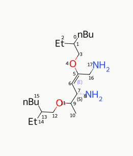 CCCCC(CC)CO/C(=C/[C@H](N)C(C)OCC(CC)CCCC)CN